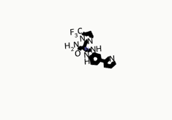 NC(=O)/C(=C1\Nc2ccc(-c3cccnc3)cc2N1)c1nccc(C(F)(F)F)n1